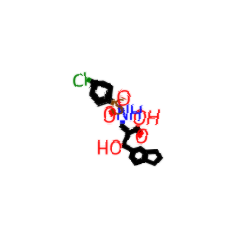 O=C(O)C(CNS(=O)(=O)c1ccc(Cl)cc1)C(O)c1ccc2c(c1)CCC2